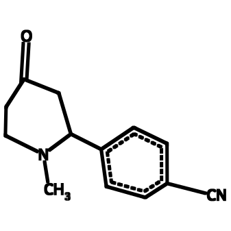 CN1CCC(=O)CC1c1ccc(C#N)cc1